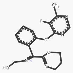 Cc1ncnc(Oc2ccccc2/C(=N\CO)C2=NCCCO2)c1F